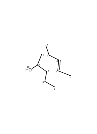 C/C=C/CC.CCCC(C)O